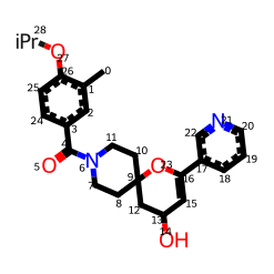 Cc1cc(C(=O)N2CCC3(CC2)CC(O)C=C(c2cccnc2)O3)ccc1OC(C)C